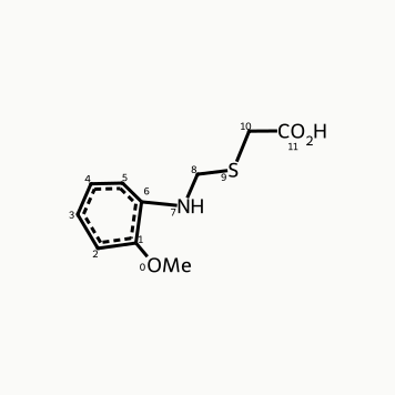 COc1ccccc1NCSCC(=O)O